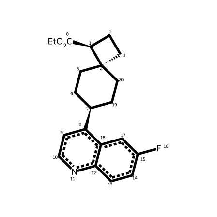 CCOC(=O)[C@H]1CC[C@]12CC[C@H](c1ccnc3ccc(F)cc31)CC2